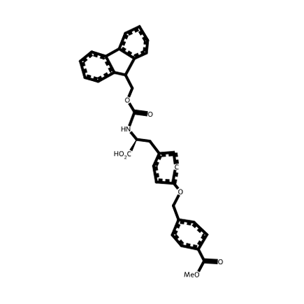 COC(=O)c1ccc(COc2ccc(C[C@H](NC(=O)OCC3c4ccccc4-c4ccccc43)C(=O)O)cc2)cc1